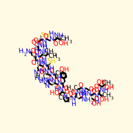 CC(C)C[C@H](NC(=O)[C@H](CO)NC(=O)[C@H](CS)NC(=O)CNC(=O)[C@@H](N)[C@@H](C)O)C(=O)N[C@@H](CC(N)=O)C(=O)N[C@@H](CC(N)=O)C(=O)N[C@@H](CS)C(=O)N[C@@H](C)C(=O)N[C@@H](C)C(=O)N[C@@H](Cc1c[nH]cn1)C(=O)N[C@@H](Cc1ccc(O)cc1)C(=O)N[C@H](C(=O)N1CCC[C@H]1C(=O)N[C@@H](CC(N)=O)C(=O)N[C@@H](C)C(=O)NCC(=O)N[C@@H](CC(=O)O)C(=O)N[C@H](C(=O)N[C@H](C(=O)O)[C@@H](C)O)[C@@H](C)O)[C@@H](C)O